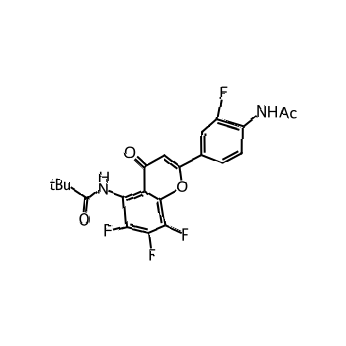 CC(=O)Nc1ccc(-c2cc(=O)c3c(NC(=O)C(C)(C)C)c(F)c(F)c(F)c3o2)cc1F